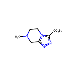 CCOC(=O)c1nnc2n1CCN(C)C2